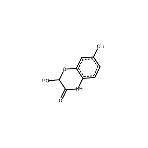 O=C1Nc2ccc(O)cc2OC1O